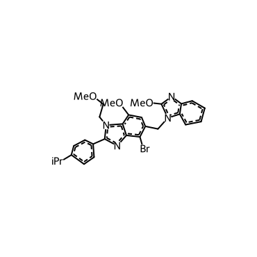 COCCn1c(-c2ccc(C(C)C)cc2)nc2c(Br)c(Cn3c(OC)nc4ccccc43)cc(OC)c21